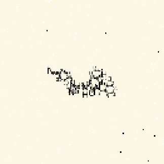 Cc1ccccc1CN1Cc2ccccc2C[C@H](NCc2cncn2Cc2ccc(C#N)cc2)C1=O